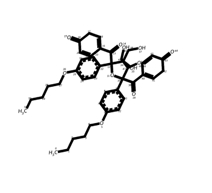 CCCCCOc1ccc(C(OC(C(=O)C2=CCC(=O)C=C2)(c2ccc(OCCCCC)cc2)C(O)CO)(C(=O)C2=CCC(=O)C=C2)C(O)CO)cc1